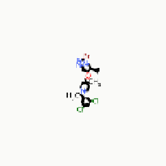 CC(c1cc(Cl)cc(Cl)c1)N1CCC(C)(COc2cc3nnc(Br)n3cc2C2CC2)CC1